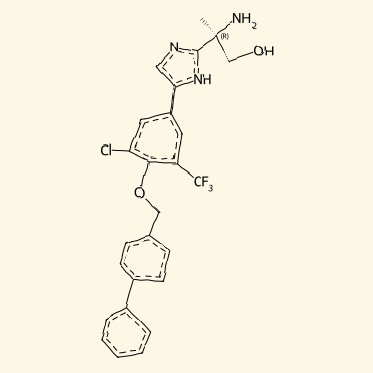 C[C@](N)(CO)c1ncc(-c2cc(Cl)c(OCc3ccc(-c4ccccc4)cc3)c(C(F)(F)F)c2)[nH]1